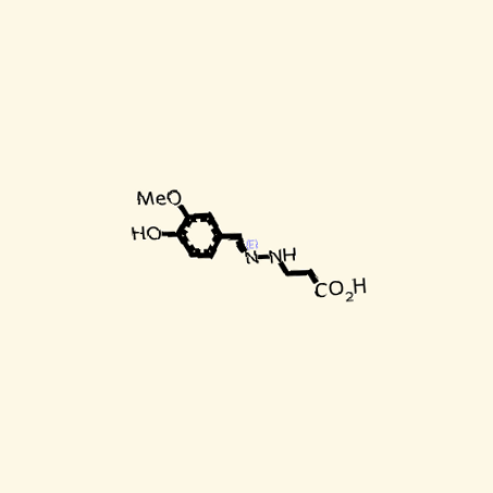 COc1cc(/C=N/NCCC(=O)O)ccc1O